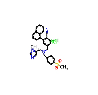 Cl.Cl.Cn1cncc1CN(Cc1ccc(S(C)(=O)=O)cc1)Cc1ccc(C#N)c(-c2cccc3ccccc23)c1